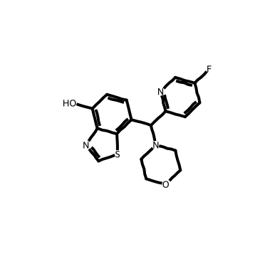 Oc1ccc(C(c2ccc(F)cn2)N2CCOCC2)c2scnc12